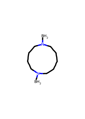 BN1CCCCCN(B)CCCC1